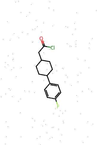 O=C(Cl)CC1CCC(c2ccc(F)cc2)CC1